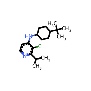 CC(C)c1nccc(NC2CCC(C(C)(C)C)CC2)c1Cl